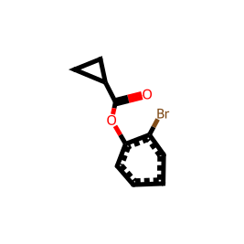 O=C(Oc1ccccc1Br)C1CC1